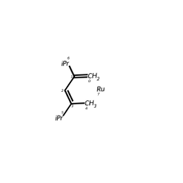 C=C(C=C(C)C(C)C)C(C)C.[Ru]